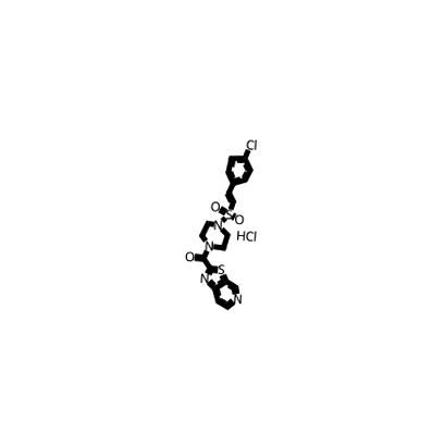 Cl.O=C(c1nc2ccncc2s1)N1CCN(S(=O)(=O)C=Cc2ccc(Cl)cc2)CC1